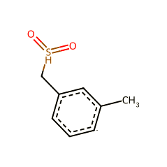 Cc1[c]ccc(C[SH](=O)=O)c1